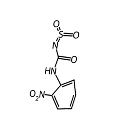 O=C(N=S(=O)=O)Nc1ccccc1[N+](=O)[O-]